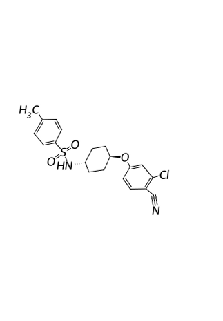 Cc1ccc(S(=O)(=O)N[C@H]2CC[C@H](Oc3ccc(C#N)c(Cl)c3)CC2)cc1